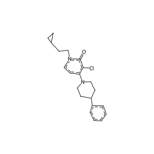 O=c1c(Cl)c(N2CCC(c3ccccc3)CC2)ccn1CCC1CC1